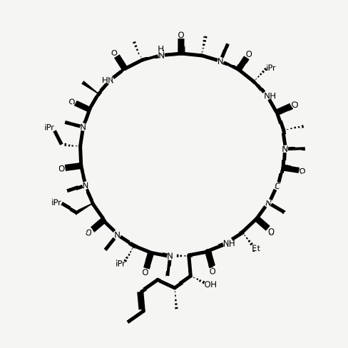 C/C=C/C[C@@H](C)[C@@H](O)[C@H]1C(=O)N[C@@H](CC)C(=O)N(C)CC(=O)N(C)[C@@H](C)C(=O)N[C@@H](C(C)C)C(=O)N(C)[C@@H](C)C(=O)N[C@@H](C)C(=O)N[C@H](C)C(=O)N(C)[C@@H](CC(C)C)C(=O)N(C)[C@H](CC(C)C)C(=O)N(C)[C@@H](C(C)C)C(=O)N1C